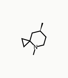 C[C@H]1CCN(C)C2(CC2)C1